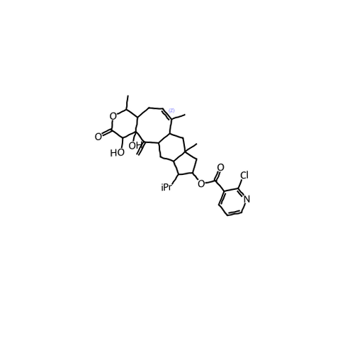 C=C1C2CC3C(C(C)C)C(OC(=O)c4cccnc4Cl)CC3(C)CC2/C(C)=C\CC2C(C)OC(=O)C(O)C12O